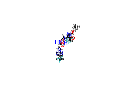 CC(CONC(=O)CC1CN(c2ncc(C(F)(F)F)cn2)C1)Nc1cnn(COCC[Si](C)(C)C)c(=O)c1C(F)(F)F